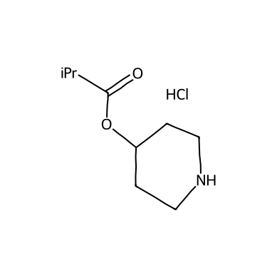 CC(C)C(=O)OC1CCNCC1.Cl